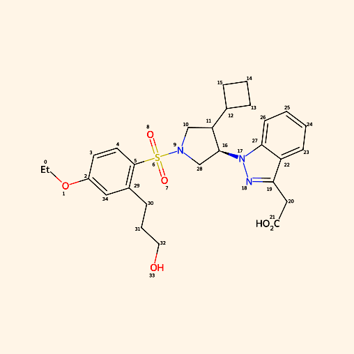 CCOc1ccc(S(=O)(=O)N2CC(C3CCC3)[C@@H](n3nc(CC(=O)O)c4ccccc43)C2)c(CCCO)c1